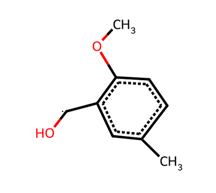 COc1ccc(C)cc1[CH]O